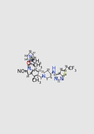 Cc1c(CN2CCC(Nc3ncnc4sc(CC(F)(F)F)cc34)CC2)ccc2c1cc(C#N)n2CC(C)N1CC2CC(C1)N2[S+](C)[O-]